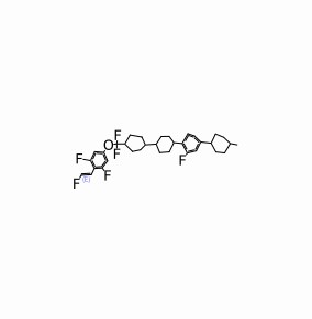 CC1CCC(c2ccc(C3CCC(C4CCC(C(F)(F)Oc5cc(F)c(/C=C/F)c(F)c5)CC4)CC3)c(F)c2)CC1